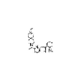 C=CN1CCC2(CC1)CCN(C(=C)c1cccc(CNC3=C(N=C)CCCC3)n1)CC2